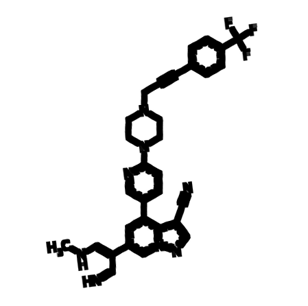 CN/C=C(\C=N)c1cc(-c2ccc(N3CCN(CC#Cc4ccc(C(F)(F)F)cc4)CC3)nc2)c2c(C#N)cnn2c1